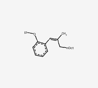 CCCCCCCCCC(C)=Cc1ccccc1OCC